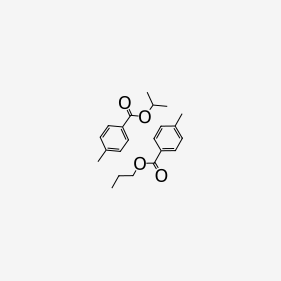 CCCOC(=O)c1ccc(C)cc1.Cc1ccc(C(=O)OC(C)C)cc1